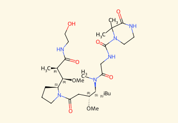 CC[C@H](C)[C@@H]([C@@H](CC(=O)N1CCC[C@H]1[C@H](OC)[C@@H](C)C(=O)NCCO)OC)N(C)C(=O)CNC(=O)N1CCNC(=O)C1(C)C